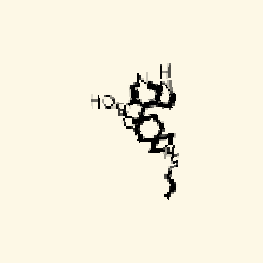 CCCSN1CC2(CCC3(CC2)OB(O)c2cnc4[nH]ccc4c23)C1